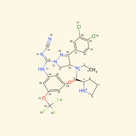 CCN(C(=O)[C@H]1CCCN1)C1CN(C(=NC#N)Nc2cccc(OC(F)(F)F)c2)N=C1c1ccc(Cl)c(Cl)c1